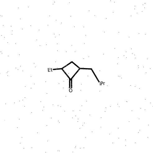 CCC1CC(CC(C)C)C1=O